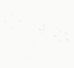 Nc1ncnc2c1ncn2[C@@H]1O[C@H](C(=O)NCCCCCC(=O)N2CCNCCNCCNCC2)[C@@H](O)[C@H]1O.O=S(=O)([O-])C(F)(F)F.O=S(=O)([O-])C(F)(F)F.[Cu+2]